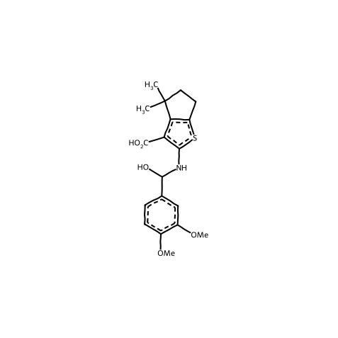 COc1ccc(C(O)Nc2sc3c(c2C(=O)O)C(C)(C)CC3)cc1OC